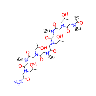 CCC(=O)N(CC(=O)N(CC(=O)N(CC(=O)N(CC(=O)N(CC(=O)N(CC(=O)N(CC(=O)N(CC(N)=O)CC(C)O)C(C)CC)CC(C)O)C(C)CC)CC(C)O)C(C)CC)CC(C)O)C(C)CC